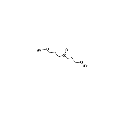 CC(C)OCCC[S+]([O-])CCCOC(C)C